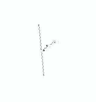 CCCCCCCCCCCCCCCCN(CCCCCCCCCCCCCCCC)C(=O)CCC(=O)NCCCS(=O)(=O)O